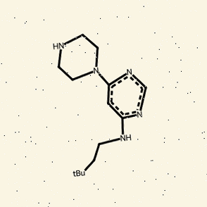 CC(C)(C)CCNc1cc(N2CCNCC2)ncn1